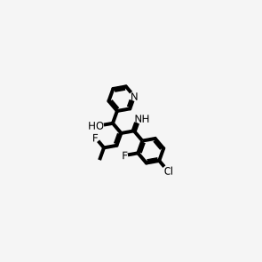 CC(F)/C=C(/C(=N)c1ccc(Cl)cc1F)C(O)c1cccnc1